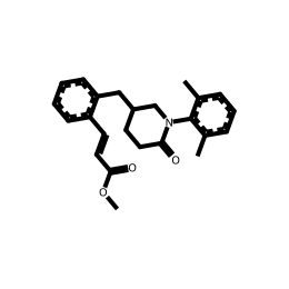 COC(=O)C=Cc1ccccc1CC1CCC(=O)N(c2c(C)cccc2C)C1